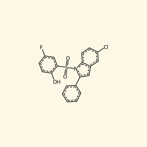 O=S(=O)(c1cc(F)ccc1O)n1c(-c2ccccc2)cc2cc(Cl)ccc21